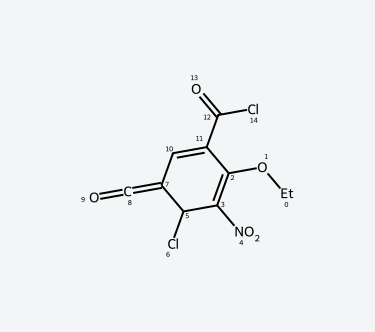 CCOC1=C([N+](=O)[O-])C(Cl)C(=C=O)C=C1C(=O)Cl